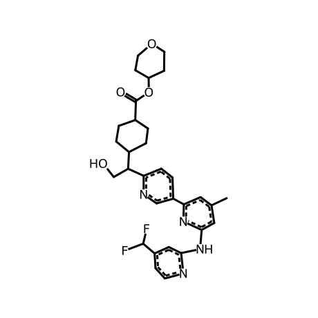 Cc1cc(Nc2cc(C(F)F)ccn2)nc(-c2ccc(C(CO)C3CCC(C(=O)OC4CCOCC4)CC3)nc2)c1